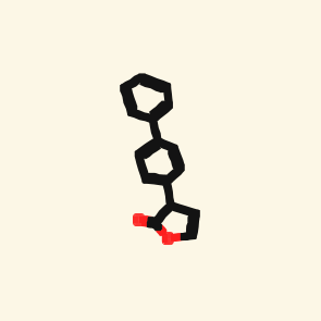 O=C1OC=CC1c1ccc(-c2ccccc2)cc1